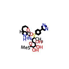 CSC1O[C@H]([C@H](NC(=O)[C@H]2NC[C@@H]3CC=CCO[C@H]32)[C@H](C)Sc2ccc(-c3cncnc3)cc2)[C@@H](O)C(O)[C@H]1O